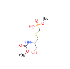 CCC(C)OP(=O)(O)CSCC(CO)NC(=O)OC(C)(C)C